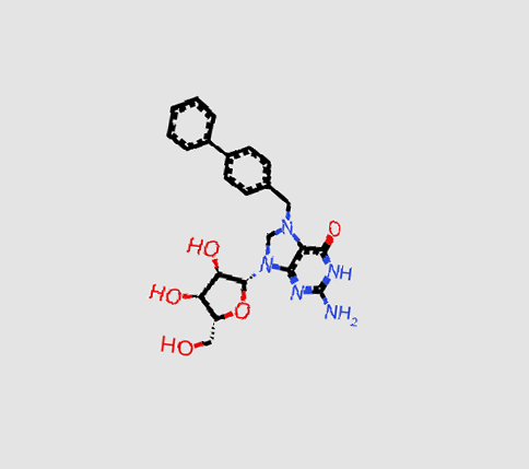 Nc1nc2c(c(=O)[nH]1)N(Cc1ccc(-c3ccccc3)cc1)CN2[C@@H]1O[C@H](CO)[C@@H](O)[C@H]1O